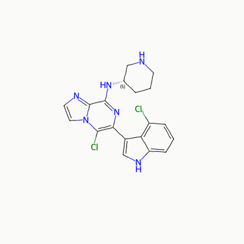 Clc1cccc2[nH]cc(-c3nc(N[C@H]4CCCNC4)c4nccn4c3Cl)c12